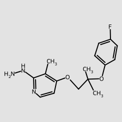 Cc1c(OCC(C)(C)Oc2ccc(F)cc2)ccnc1NN